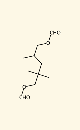 CC(COC=O)CC(C)(C)COC=O